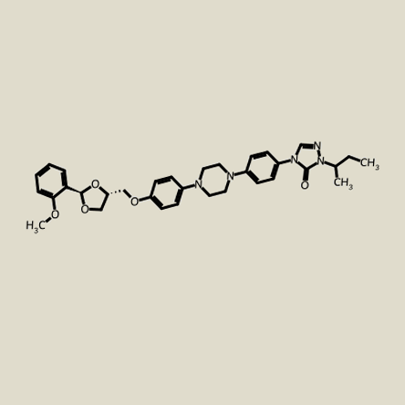 CCC(C)n1ncn(-c2ccc(N3CCN(c4ccc(OC[C@@H]5CO[C@@H](c6ccccc6OC)O5)cc4)CC3)cc2)c1=O